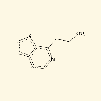 OCCc1nc[c]c2ccsc12